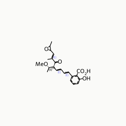 CO[C@@H](C)[C@H](/C=C/C=C/c1cccc(O)c1C(=O)O)C(=O)/C(C)=C/C1OC1C